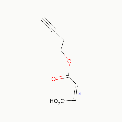 C#CCCOC(=O)/C=C\C(=O)O